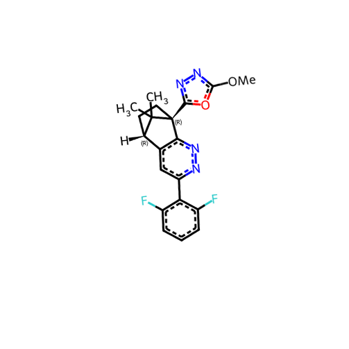 COc1nnc([C@@]23CC[C@@H](c4cc(-c5c(F)cccc5F)nnc42)C3(C)C)o1